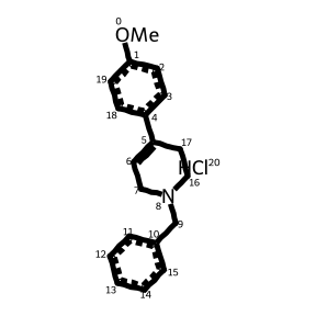 COc1ccc(C2=CCN(Cc3ccccc3)CC2)cc1.Cl